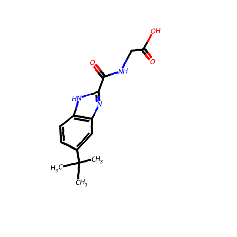 CC(C)(C)c1ccc2[nH]c(C(=O)NCC(=O)O)nc2c1